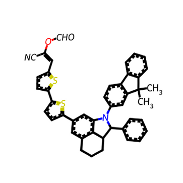 CC1(C)c2ccccc2-c2ccc(N3c4cc(-c5ccc(-c6ccc(/C=C(\C#N)OC=O)s6)s5)cc5c4C(CCC5)C3c3ccccc3)cc21